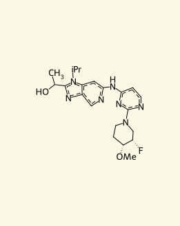 CO[C@@H]1CCN(c2nccc(Nc3cc4c(cn3)nc(C(C)O)n4C(C)C)n2)C[C@@H]1F